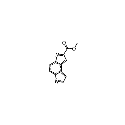 COC(=O)C1=Nc2ccc3c(c2=C1)=CC=N3